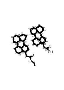 CCOC(=O)Cc1ccc2c3cccc4cccc(c5cccc1c52)c43.O=C(O)Cc1ccc2c3cccc4cccc(c5cccc1c52)c43